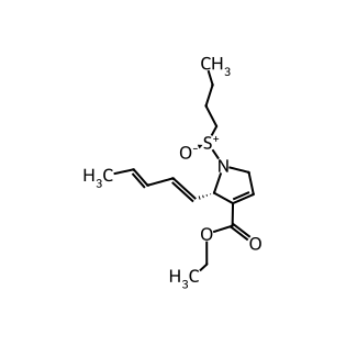 C/C=C/C=C/[C@H]1C(C(=O)OCC)=CCN1[S@@+]([O-])CCCC